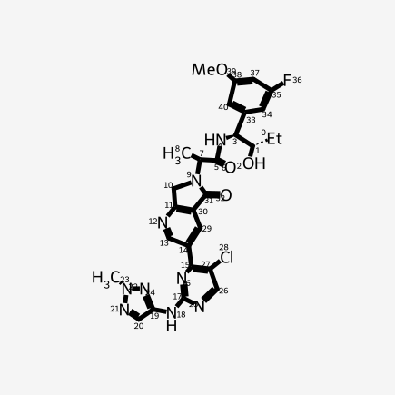 CC[C@H](O)[C@@H](NC(=O)C(C)N1Cc2ncc(-c3nc(Nc4cnn(C)n4)ncc3Cl)cc2C1=O)c1cc(F)cc(OC)c1